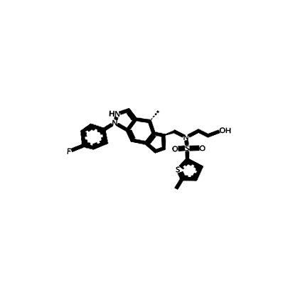 Cc1ccc(S(=O)(=O)N(CCO)C[C@H]2CCC3=C2[C@@H](C)C2=CNN(c4ccc(F)cc4)C2=C3)s1